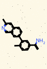 C=C(N)c1ccc(C)c(-c2ccc3cc(C)ncc3c2)c1